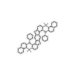 CC1(C)c2ccc3sc4cc5c(cc4c3c2N(c2ccccc2)c2ccc3ccccc3c21)sc1ccc2c(c15)N(c1ccccc1)c1ccc3ccccc3c1C2(C)C